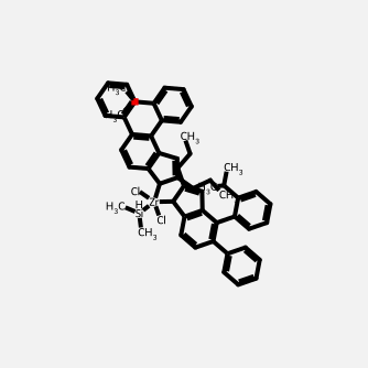 CCCC1=Cc2c(ccc(-c3ccccc3)c2-c2ccccc2C(C)C)[CH]1[Zr]([Cl])([Cl])([CH]1C(CCC)=Cc2c1ccc(-c1ccccc1)c2-c1ccccc1C(C)C)[SiH](C)C